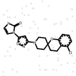 O=C1[N]C=CN1c1cc(N2CCC3(CCc4c(Cl)cccc4O3)CC2)no1